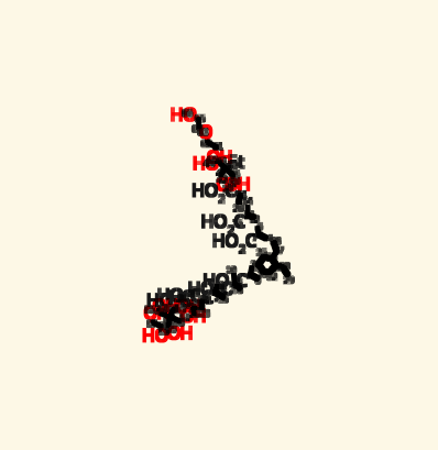 C=C(C)C(=O)O.C=C(C)C(=O)O.C=C(C)C(=O)O.C=C(C)C(=O)O.C=C(C)C(=O)O.C=CC(=O)O.C=CC(=O)O.C=CC(=O)O.C=Cc1ccccc1C=C.CCC(CO)(CO)CO.OCC(CO)(CO)CO.OCCO.OCCOCCO